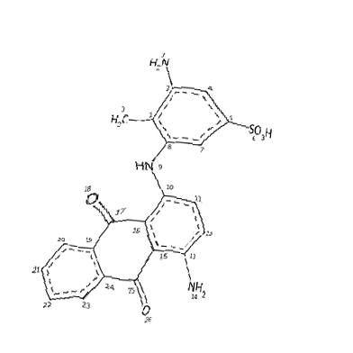 Cc1c(N)cc(S(=O)(=O)O)cc1Nc1ccc(N)c2c1C(=O)c1ccccc1C2=O